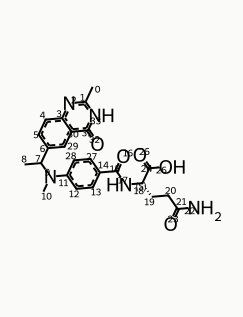 Cc1nc2ccc(C(C)N(C)c3ccc(C(=O)N[C@@H](CCC(N)=O)C(=O)O)cc3)cc2c(=O)[nH]1